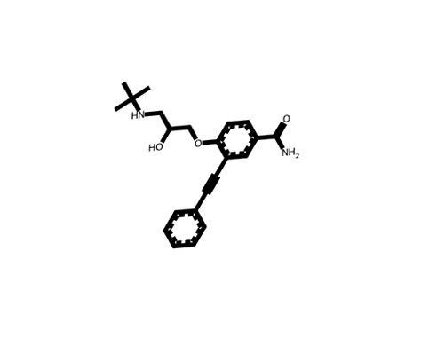 CC(C)(C)NCC(O)COc1ccc(C(N)=O)cc1C#Cc1ccccc1